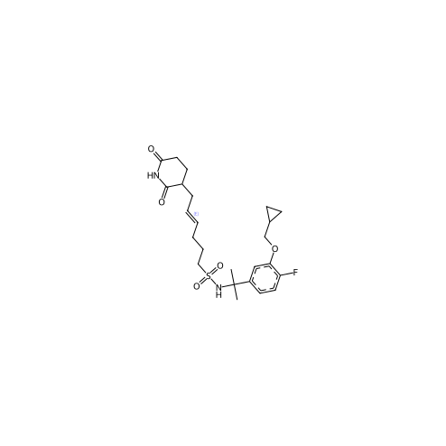 CC(C)(NS(=O)(=O)CCC/C=C/CC1CCC(=O)NC1=O)c1ccc(F)c(OCC2CC2)c1